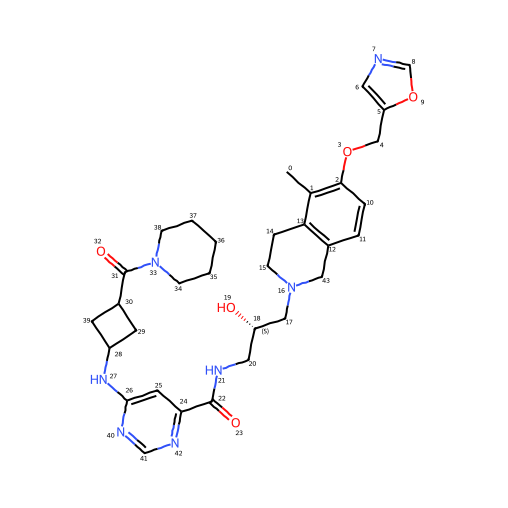 Cc1c(OCc2cnco2)ccc2c1CCN(C[C@@H](O)CNC(=O)c1cc(NC3CC(C(=O)N4CCCCC4)C3)ncn1)C2